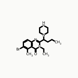 CCCC(c1nc2ccc(Br)c(C)c2c(=O)n1CC)N1CCNCC1